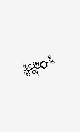 CC(C)(C(=O)O)C(O)Cc1ccc([N+](=O)[O-])cc1